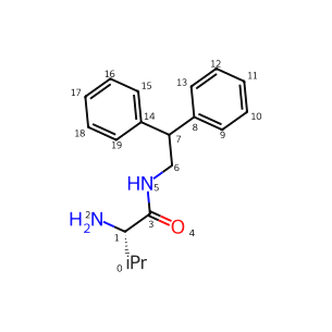 CC(C)[C@H](N)C(=O)NCC(c1ccccc1)c1ccccc1